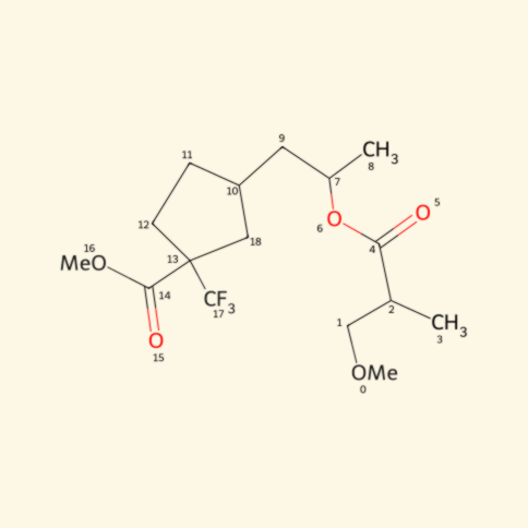 COCC(C)C(=O)OC(C)CC1CCC(C(=O)OC)(C(F)(F)F)C1